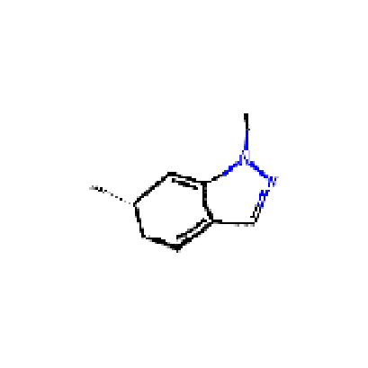 C[C@@H]1C=c2c(cnn2C)=CC1